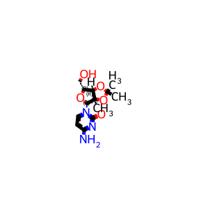 CC1(C)O[C@@H]2[C@@H](CO)O[C@@H](n3ccc(N)nc3=O)[C@]2(C)O1